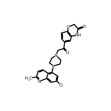 Cc1ccc2c(N3CCN(CC(=O)c4ccc5c(c4)NC(=O)CO5)CC3)cc(Cl)cc2n1